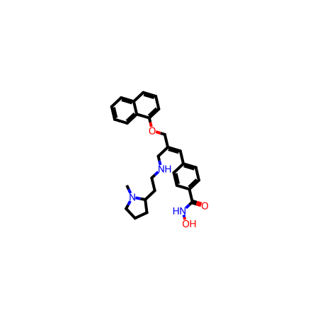 CN1CCCC1CCNCC(=Cc1ccc(C(=O)NO)cc1)COc1cccc2ccccc12